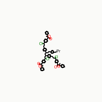 CC(C)Cc1ccc(CCC(CC(CC(Cl)c2ccc(C3C(=O)OC3(C)c3ccccc3)cc2)c2ccc(CCC(Cl)c3ccc(C4C(=O)OC4(C)c4ccccc4)cc3)cc2)c2ccc(CCC(Cl)c3ccc(C4C(=O)OC4(C)c4ccccc4)cc3)cc2)cc1